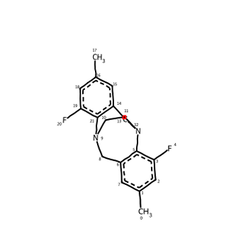 Cc1cc(F)c2c(c1)CN1CCN2Cc2cc(C)cc(F)c21